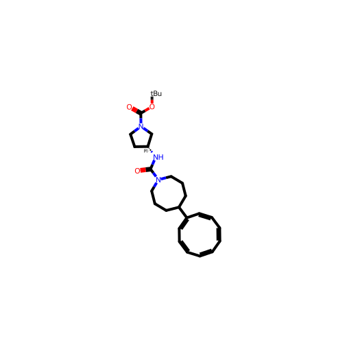 CC(C)(C)OC(=O)N1CC[C@@H](NC(=O)N2CCCC(c3ccccccccc3)CCC2)C1